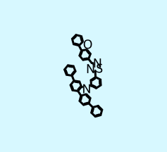 c1ccc(-c2ccc3c4ccc(-c5ccccc5)cc4n(-c4cccc(-c5nc(-c6ccc7c(c6)oc6ccccc67)ns5)c4)c3c2)cc1